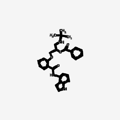 CC(C)(C)NCC(COc1ccccc1C(=O)Nc1cccc2[nH]ccc12)OC(=O)c1ccccc1